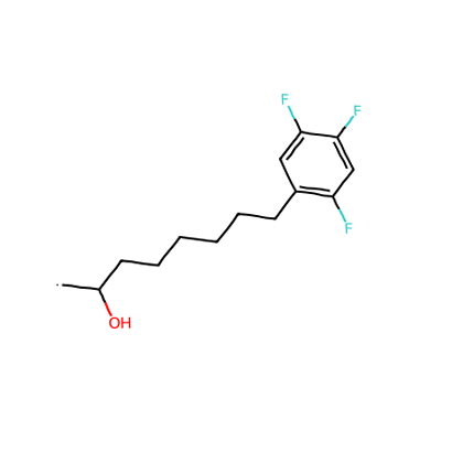 [CH2]C(O)CCCCCCc1cc(F)c(F)cc1F